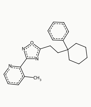 Cc1cccnc1-c1noc(CCC2(c3ccccc3)CCCCC2)n1